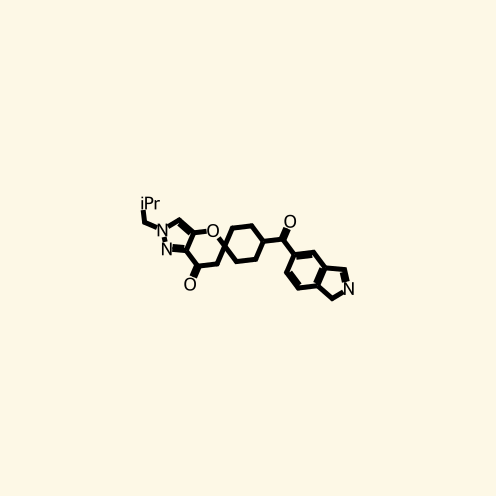 CC(C)Cn1cc2c(n1)C(=O)CC1(CCC(C(=O)c3ccc4c(c3)C=NC4)CC1)O2